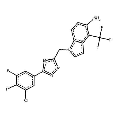 Nc1ccc2c(ccn2Cc2noc(-c3cc(F)c(F)c(Cl)c3)n2)c1C(F)(F)F